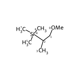 [CH2]OCC(C)[Si](C)(C)C